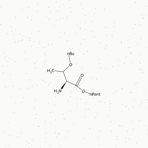 CCCCCOC(=O)[C@@H](N)C(C)OCCCC